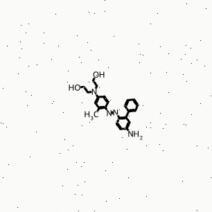 Cc1cc(N(CCO)CCO)ccc1N=Nc1ccc(N)cc1-c1ccccc1